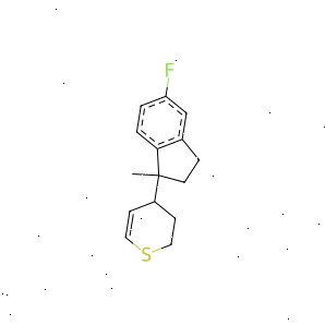 CC1(C2C=CSCC2)CCc2cc(F)ccc21